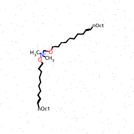 CCCCCCCCC=CCCCCCCCCOC[N+](C)(C)OCCCCCCCCC=CCCCCCCCC